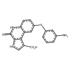 Nc1cccc(Sc2ccc3[nH]c(=O)c4[nH]cc(C(=O)O)c4c3c2)c1